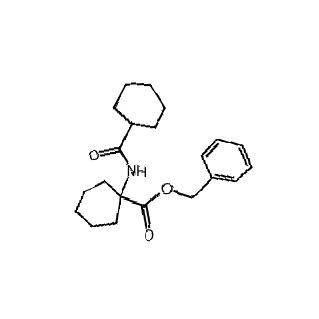 O=C(NC1(C(=O)OCc2ccccc2)CCCCC1)C1CCCCC1